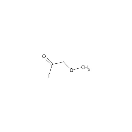 COCC(=O)I